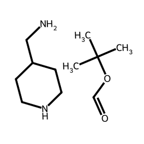 CC(C)(C)OC=O.NCC1CCNCC1